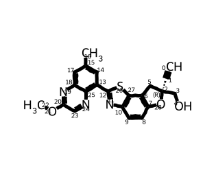 C#C[C@@]1(CO)Cc2c(ccc3nc(-c4cc(C)cc5nc(OC)cnc45)sc23)O1